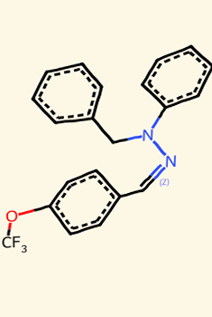 FC(F)(F)Oc1ccc(/C=N\N(Cc2ccccc2)c2ccccc2)cc1